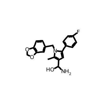 Cc1c(C(N)O)cc(-c2ccc(F)cc2)n1Cc1ccc2c(c1)OCO2